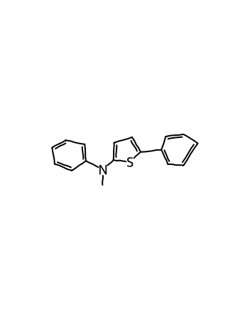 CN(c1ccccc1)c1ccc(-c2ccccc2)s1